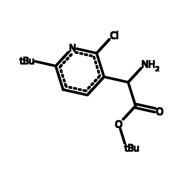 CC(C)(C)OC(=O)C(N)c1ccc(C(C)(C)C)nc1Cl